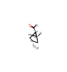 CCC(=O)[C@H]1[C@@H]2C[C@H](C(=O)O)C[C@@H]21